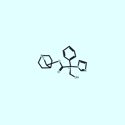 O=C(OC1CN2CCC1CC2)[C@](CO)(c1ccccc1)n1ccnc1